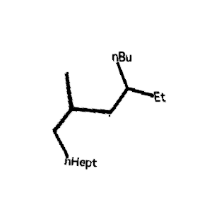 CCCCCCCCC(C)[CH]C(CC)CCCC